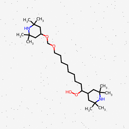 CC1(C)CC(OCOCCCCCCCCC(OO)C2CC(C)(C)NC(C)(C)C2)CC(C)(C)N1